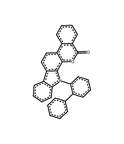 O=c1oc2c(ccc3c4ccccc4n(-c4ccccc4-c4ccccc4)c32)c2ccccc12